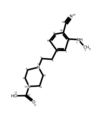 CNc1cc(CCN2CCN(C(=O)O)CC2)ccc1C#N